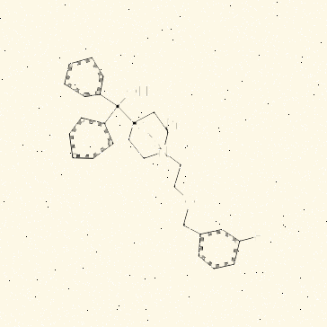 OC(c1ccccc1)(c1ccccc1)C12CC[N+](CCOCc3cccc(F)c3)(CC1)CC2.[Br-]